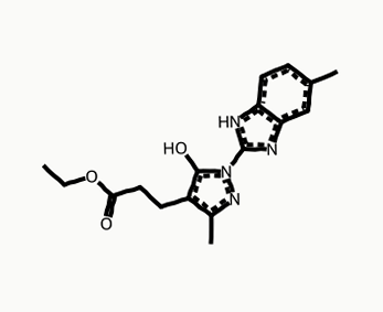 CCOC(=O)CCc1c(C)nn(-c2nc3cc(C)ccc3[nH]2)c1O